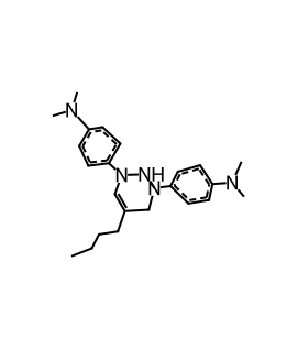 CCCCC1=CN(c2ccc(N(C)C)cc2)NN(c2ccc(N(C)C)cc2)C1